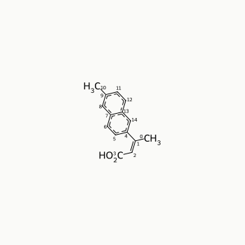 C/C(=C/C(=O)O)c1ccc2cc(C)ccc2c1